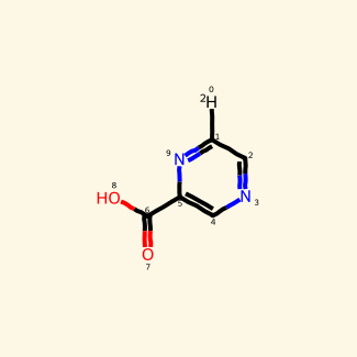 [2H]c1cncc(C(=O)O)n1